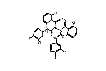 O=C(Nc1ccc(Br)c(Cl)c1)N(C(=O)c1c(Cl)cccc1Cl)N(C(=O)Nc1ccc(I)c(Cl)c1)C(=O)c1c(Cl)cccc1Cl